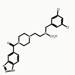 O=C(O)N(CCN1CCN(C(=O)c2ccc3[nH]nnc3c2)CC1)Cc1cc(Cl)cc(Cl)c1